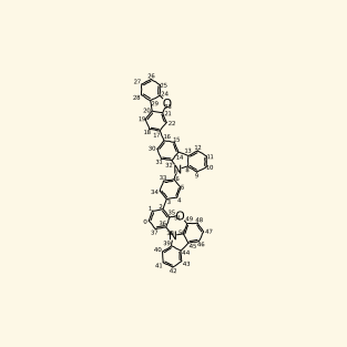 c1cc(-c2ccc(-n3c4ccccc4c4cc(-c5ccc6c(c5)oc5ccccc56)ccc43)cc2)c2c(c1)-n1c3ccccc3c3cccc(c31)O2